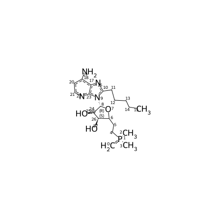 C=P(C)(C)CCC1O[C@@H](n2c(CCCCC)nc3c(N)ccnc32)[C@H](O)[C@@H]1O